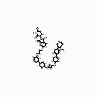 Cn1c2ccncc2c2ccc(-c3ccc(OC4CC(OC5CCN(c6cc(OCCOc7ccc8c(c7)C(=O)N(C7CCC(=O)NC7=O)C8=O)cnn6)CC5)C4)nc3)cc21